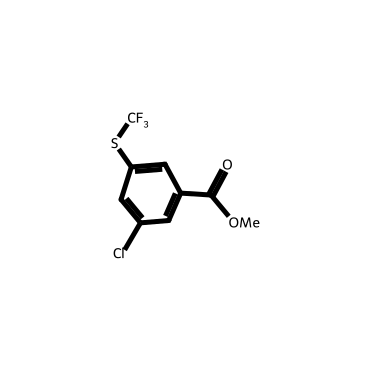 COC(=O)c1cc(Cl)cc(SC(F)(F)F)c1